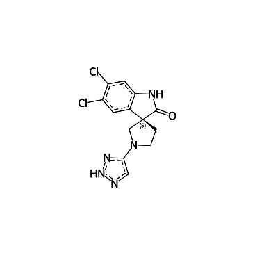 O=C1Nc2cc(Cl)c(Cl)cc2[C@]12CCN(c1cn[nH]n1)C2